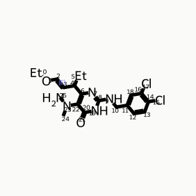 CCO/C=C/C(CC)c1nc(NCc2ccc(Cl)c(Cl)c2)[nH]c(=O)c1N(C)N